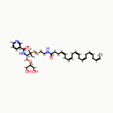 CC/C=C\C/C=C\C/C=C\C/C=C\C/C=C\C/C=C\CCC(=O)NCCSSC(C)(C)[C@@H](COC(CO)CO)NC(=O)c1cccnc1